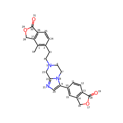 Cc1c(CCN2CCn3c(-c4ccc5c(c4)COC5=O)cnc3C2)ccc2c1COC2=O